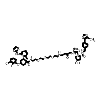 Cc1ncsc1-c1ccc(CNC(=O)[C@@H]2C[C@@H](O)CN2C(=O)[C@@H](NCC(=O)CCNCCOCCOCCOCCNC(=O)[C@]2(Cc3cccc(Nc4nccs4)n3)CC[C@@H](Oc3cccc(Cl)c3F)CC2)C(C)(C)C)cc1